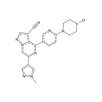 Cn1cc(-c2cn3ncc(C#N)c3c(-c3ccc(N4CC[S+]([O-])CC4)nc3)n2)cn1